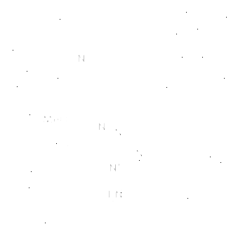 COc1cc(N2CCCC2)ccc1/N=N/c1n(-c2ccccc2)cc(N)[n+]1-c1ccccc1